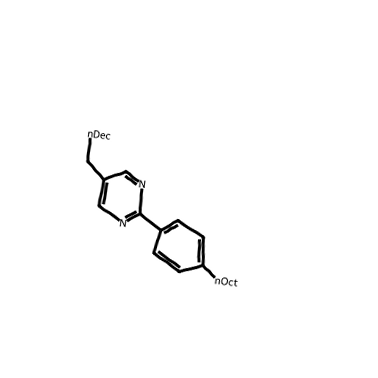 CCCCCCCCCCCc1cnc(-c2ccc(CCCCCCCC)cc2)nc1